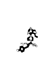 CCC1SCc2ncnc(N3CCN(C(=O)[C@H](N)Cc4ccc(Cl)cc4)CC3)c21.Cl.Cl